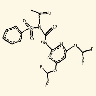 CC(=O)N(C(=O)Nc1nc(OC(F)F)cc(OC(F)F)n1)S(=O)(=O)c1ccccc1